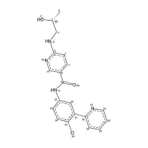 C[C@@H](O)CNc1ccc(C(=O)Nc2ccc(Cl)c(-c3ccccn3)c2)cn1